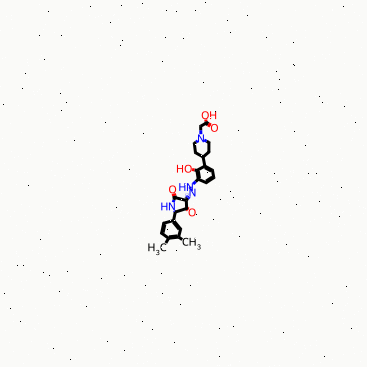 Cc1ccc(C2NC(=O)/C(=N\Nc3cccc(C4CCN(CC(=O)O)CC4)c3O)C2=O)cc1C